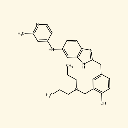 CCCN(CCC)Cc1cc(Cc2nc3ccc(Nc4ccnc(C)c4)cc3[nH]2)ccc1O